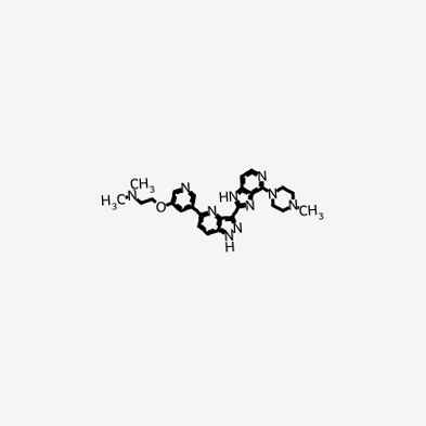 CN(C)CCOc1cncc(-c2ccc3[nH]nc(-c4nc5c(N6CCN(C)CC6)nccc5[nH]4)c3n2)c1